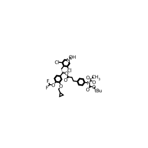 CC(C)(C)OC(=O)N(c1ccc(CCC(=O)O[C@@H](Cc2c(Cl)c[n+](O)cc2Cl)c2ccc(OC(F)F)c(OCC3CC3)c2)cc1)S(C)(=O)=O